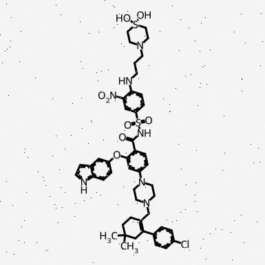 CC1(C)CCC(CN2CCN(c3ccc(C(=O)NS(=O)(=O)c4ccc(NCCCN5CCS(O)(O)CC5)c([N+](=O)[O-])c4)c(Oc4ccc5[nH]ccc5c4)c3)CC2)=C(c2ccc(Cl)cc2)C1